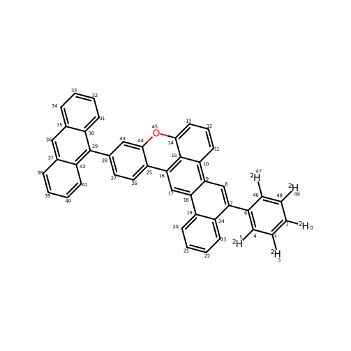 [2H]c1c([2H])c([2H])c(-c2cc3c4cccc5c4c(cc3c3ccccc23)-c2ccc(-c3c4ccccc4cc4ccccc34)cc2O5)c([2H])c1[2H]